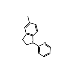 Cc1ccc2c(c1)CCN2c1ccccn1